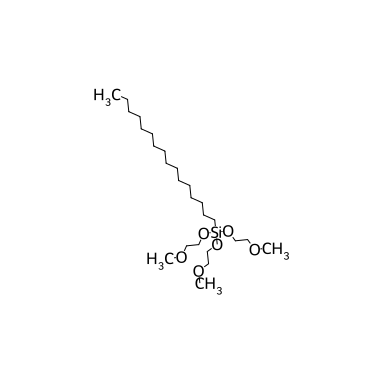 CCCCCCCCCCCCCCCC[Si](OCCOC)(OCCOC)OCCOC